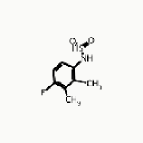 Cc1c(F)ccc(N[SH](=O)=O)c1C